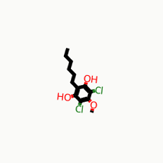 CCCCCCc1c(O)c(Cl)c(OC)c(Cl)c1O